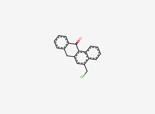 O=C1c2ccccc2Cc2cc(CCl)c3ccccc3c21